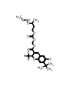 CONOC(C)CCOC(=O)OCOC(=O)C1=Cc2cc(Cl)c(C(C)(C)C)cc2OC1C(F)(F)F